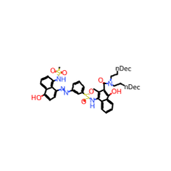 CCCCCCCCCCCCN(CCCCCCCCCCCC)C(=O)c1c(C)c(NS(=O)(=O)c2cccc(N=Nc3ccc(O)c4cccc(NS(C)(=O)=O)c34)c2)c2ccccc2c1O